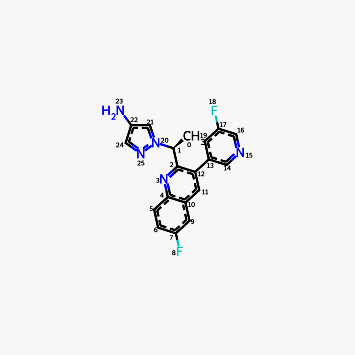 C[C@@H](c1nc2ccc(F)cc2cc1-c1cncc(F)c1)n1cc(N)cn1